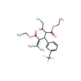 CCOC(=O)/C(=C(\C)N)C(c1cccc(C(F)(F)F)c1)C(C(=O)CCl)C(=O)OCC